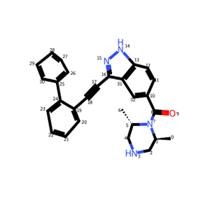 C[C@H]1CNC[C@H](C)N1C(=O)c1ccc2[nH]nc(C#Cc3ccccc3-c3ccccc3)c2c1